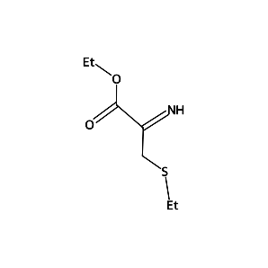 CCOC(=O)C(=N)CSCC